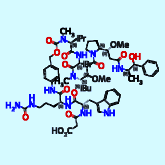 CC[C@H](C)[C@@H]([C@@H](CC(=O)N1CCC[C@H]1[C@@H](CC(=O)N[C@H](C)[C@@H](O)c1ccccc1)OC)OC)N(C)C(=O)[C@@H](NC(=O)[C@H](C(C)C)N(C)C(=O)OCc1ccc(NC(=O)[C@H](CCCNC(N)=O)NC(=O)[C@H](Cc2c[nH]c3ccccc23)NC(=O)CC(=O)O)cc1)C(C)C